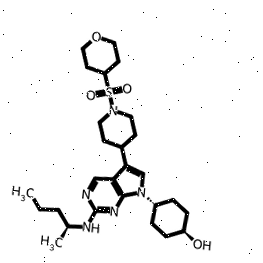 CCC[C@H](C)Nc1ncc2c(C3CCN(S(=O)(=O)C4CCOCC4)CC3)cn([C@H]3CC[C@H](O)CC3)c2n1